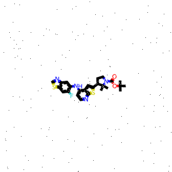 CC(C)(C)OC(=O)N1CCC(c2cc3c(Nc4cc5ncsc5cc4F)ccnc3s2)C1(C)C